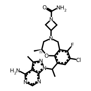 Cc1nn(C(C)c2cc(Cl)c(F)c3c2O[C@@H](C)CN(C2CN(C(N)=O)C2)C3)c2ncnc(N)c12